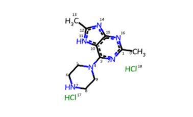 Cc1nc(N2CCNCC2)c2[nH]c(C)nc2n1.Cl.Cl